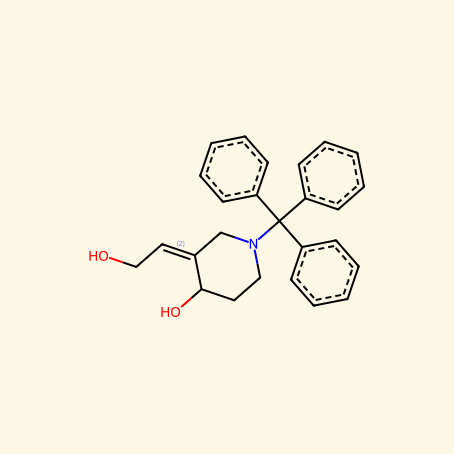 OC/C=C1/CN(C(c2ccccc2)(c2ccccc2)c2ccccc2)CCC1O